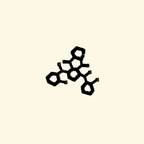 O=C1c2ccccc2C(=O)c2c(N(Cl)c3ccccc3Cl)ccc(N(Cl)c3ccccc3Cl)c21